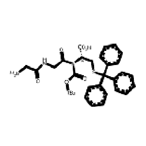 CC(C)(C)OC(=O)N(C(=O)CNC(=O)CN)[C@@H](CSC(c1ccccc1)(c1ccccc1)c1ccccc1)C(=O)O